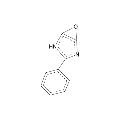 c1ccc(-c2nc3c([nH]2)O3)cc1